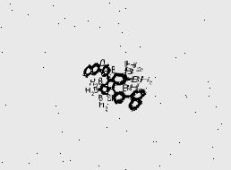 Bc1c(B)c(B)c2c(-c3ccc4oc5cc6ccccc6cc5c4c3)c3c(B)c(B)c(B)c(B)c3c(-c3cccc(-c4cccc5ccccc45)c3)c2c1B